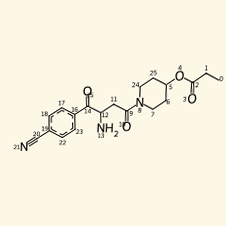 CCC(=O)OC1CCN(C(=O)CC(N)C(=O)c2ccc(C#N)cc2)CC1